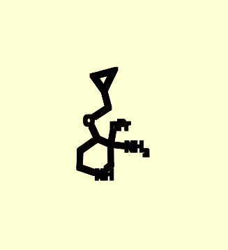 CCCC1(N)CNCCC1OCC1CC1